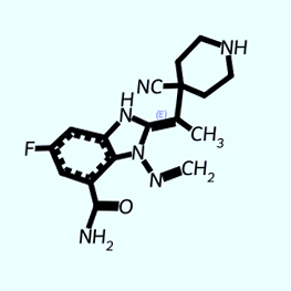 C=NN1/C(=C(\C)C2(C#N)CCNCC2)Nc2cc(F)cc(C(N)=O)c21